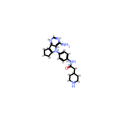 Nc1ncnc2c3c(n(-c4ccc(NC(=O)CC5CCNCC5)cc4)c12)CCC3